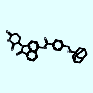 O=C1CCC(N2C(=O)c3cccc4c(NC(=O)c5ccc(CNC67CC8CC(CC(C8)C6)C7)cc5)ccc2c34)C(=O)N1